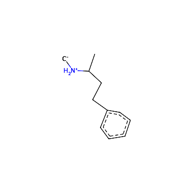 [CH2-][NH2+]C(C)CCc1ccccc1